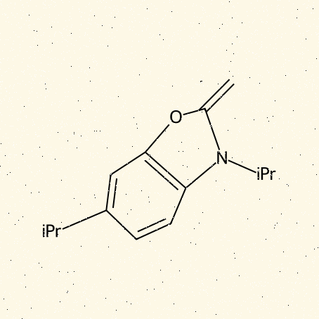 C=C1Oc2cc(C(C)C)ccc2N1C(C)C